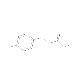 NNC(=O)NNc1ccc(F)cc1